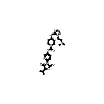 CC(C)C1NC(=S)N(c2ccc(OC(=O)N3CCC(Sc4nnnn4CCN(C)C)CC3)cn2)C1=O